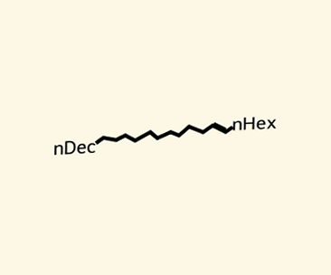 [CH2]CCCCC/C=C/CCCCCCCCCCCCCCCCCCC[CH2]